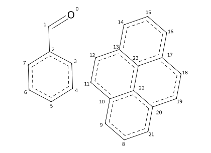 O=Cc1ccccc1.c1cc2ccc3cccc4ccc(c1)c2c34